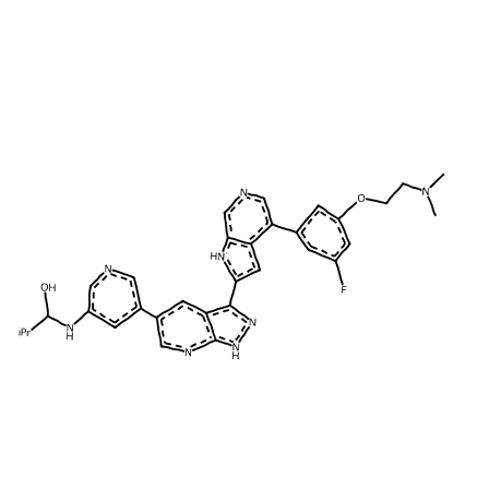 CC(C)C(O)Nc1cncc(-c2cnc3[nH]nc(-c4cc5c(-c6cc(F)cc(OCCN(C)C)c6)cncc5[nH]4)c3c2)c1